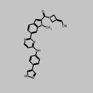 Cn1c(C(=O)N2CC(=CC#N)C2)cc2ccc(-c3nccc(Nc4ccc(-c5cn[nH]c5)cc4)n3)cc21